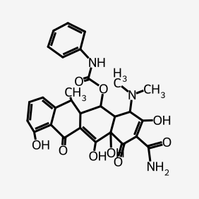 CC1c2cccc(O)c2C(=O)C2=C(O)C3(O)C(=O)C(C(N)=O)=C(O)C(N(C)C)C3C(OC(=O)Nc3ccccc3)C21